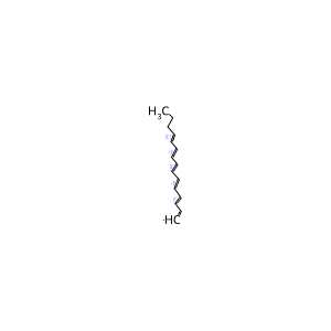 [CH]=C/C=C/C=C/C=C/C=C/C=C/CCC